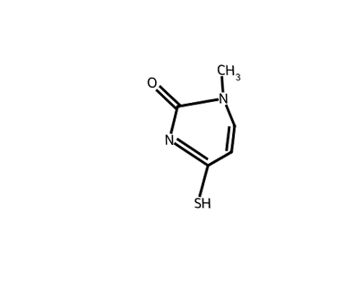 Cn1ccc(S)nc1=O